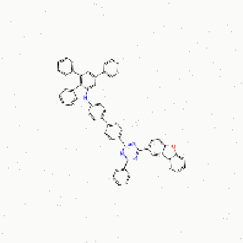 c1ccc(-c2cc(-c3ccccc3)c3c4ccccc4n(-c4ccc(-c5ccc(-c6nc(-c7ccccc7)nc(-c7ccc8oc9ccccc9c8c7)n6)cc5)cc4)c3c2)cc1